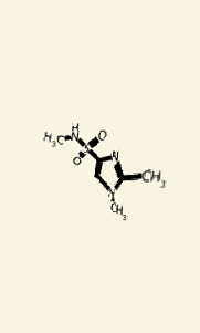 CNS(=O)(=O)c1cn(C)c(C)n1